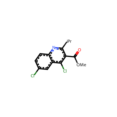 COC(=O)c1c(C(C)C)nc2ccc(Cl)cc2c1Cl